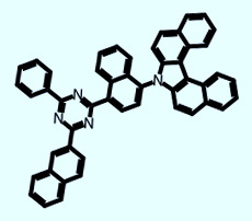 c1ccc(-c2nc(-c3ccc4ccccc4c3)nc(-c3ccc(-n4c5ccc6ccccc6c5c5c6ccccc6ccc54)c4ccccc34)n2)cc1